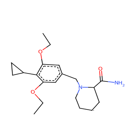 CCOc1cc(CN2CC[CH]CC2C(N)=O)cc(OCC)c1C1CC1